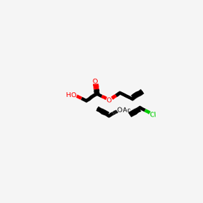 C=CCOC(=O)CO.C=CCl.C=COC(C)=O